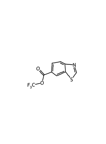 O=C(OC(F)(F)F)c1ccc2ncsc2c1